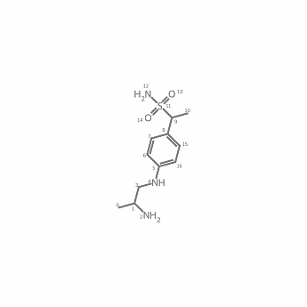 CC(N)CNc1ccc(C(C)S(N)(=O)=O)cc1